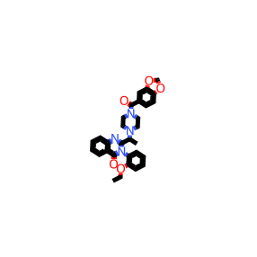 CCOc1ccccc1-n1c(C(C)N2CCN(C(=O)c3ccc4c(c3)OCO4)CC2)nc2ccccc2c1=O